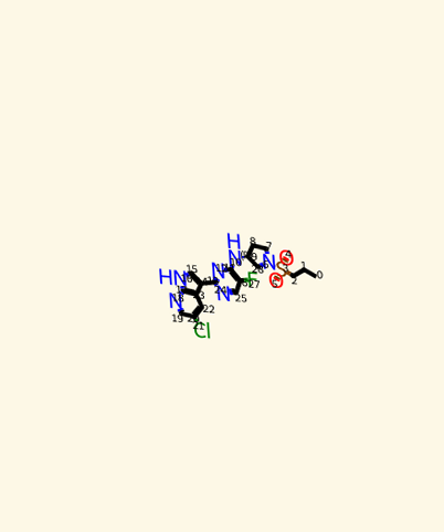 CCCS(=O)(=O)N1CC[C@@H](Nc2nc(-c3c[nH]c4ncc(Cl)cc34)ncc2F)C1